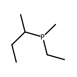 CCC(C)P(C)CC